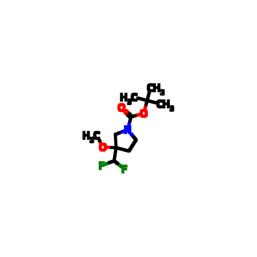 COC1(C(F)F)CCN(C(=O)OC(C)(C)C)C1